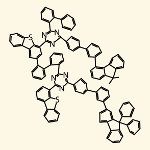 CC1(C)c2ccccc2-c2c(-c3cccc(-c4ccc(-c5nc(-c6ccccc6-c6ccccc6)nc(-c6cc(-c7ccccc7-c7ccccc7-c7nc(-c8ccc(-c9cccc(-c%10ccc%11c(c%10)C(c%10ccccc%10)(c%10ccccc%10)c%10ccccc%10-%11)c9)cc8)nc(-c8cccc9c8sc8ccccc89)n7)cc7c6sc6ccccc67)n5)cc4)c3)cccc21